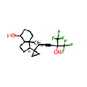 CC12CCCC(O)C1CC[C@@H]2C1(CC#CC(O)(C(F)(F)F)C(F)(F)F)CC1